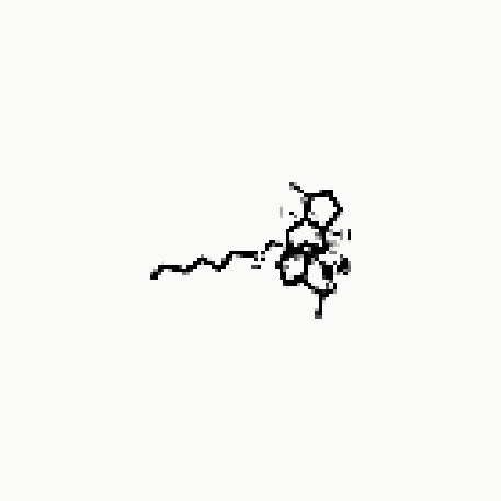 CCCCCCOC[C@]12C[C@H]3[C@@H](C)CC[C@@H]3[C@]3(C=O)C[C@H]1C=C(C(C)C)[C@]23C(=O)O